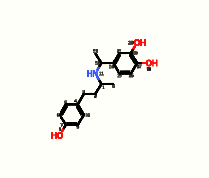 CC(CCc1ccc(O)cc1)NC(C)c1ccc(O)c(O)c1